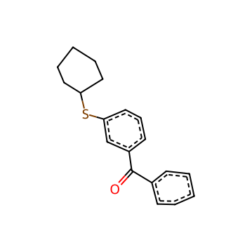 O=C(c1ccccc1)c1cccc(SC2CCCCC2)c1